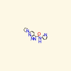 Cn1nc(C(=O)Nc2cccnc2)c2ccc(N3CCCC3)nc21